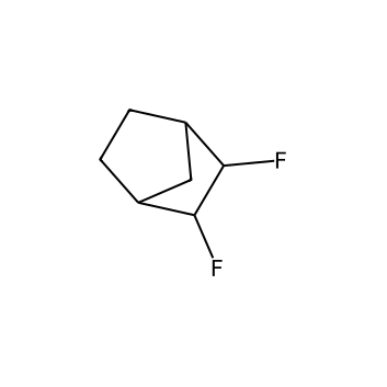 FC1C2CCC(C2)C1F